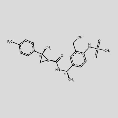 C[C@@H](NC(=O)[C@H]1C[C@]1(C)c1ccc(C(F)(F)F)cc1)c1ccc(NS(C)(=O)=O)c(CO)c1